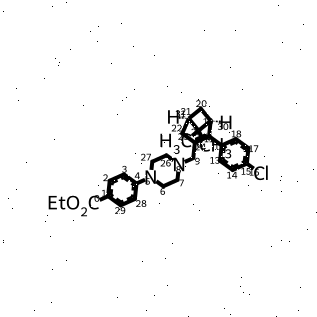 CCOC(=O)c1ccc(N2CCN(CC3=C(c4ccc(Cl)cc4)[C@@H]4C[C@H](C3)C4(C)C)CC2)cc1